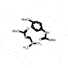 CNC(=O)Nc1ccc(OC)cc1.COC(=O)N=CN(C)C